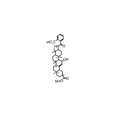 COC(=O)[C@@]1(C)CC[C@]2(C)CC[C@]3(C)C(=CC(O)C4[C@@]5(C)CCC(NC(=O)c6ccccc6C(=O)O)C(C)(C)C5CC[C@]43C)C2C1